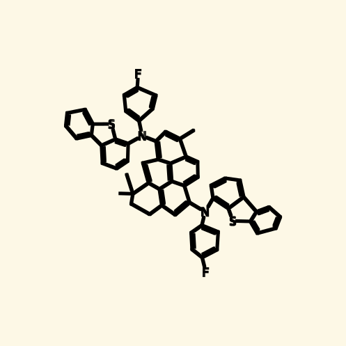 Cc1cc(N(c2ccc(F)cc2)c2cccc3c2sc2ccccc23)c2cc3c4c(cc(N(c5ccc(F)cc5)c5cccc6c5sc5ccccc56)c5ccc1c2c54)CCC3(C)C